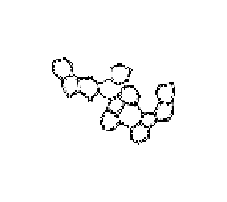 c1ccc(-c2nc3c(ccc4ccccc43)nc2-n2c3cccc4c5cccc6c7ccc8ccccc8c7n(c7cccc2c7c43)c56)cc1